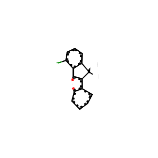 CC1(C)c2cccc(Cl)c2-c2oc3ccccc3c21